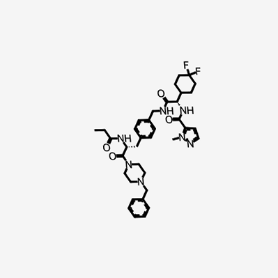 CCC(=O)N[C@H](Cc1ccc(CNC(=O)[C@@H](NC(=O)c2ccnn2C)C2CCC(F)(F)CC2)cc1)C(=O)N1CCN(Cc2ccccc2)CC1